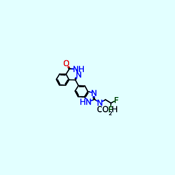 O=C(O)N(CC(F)F)c1nc2cc(-c3n[nH]c(=O)c4ccccc34)ccc2[nH]1